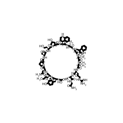 CCCC[C@H]1C(=O)N[C@@H](CC(N)=O)C(=O)N2CCC[C@H]2C(=O)N[C@@H](CO)C(=O)N[C@@H](CCO)C(=O)N2C[C@H](O)C[C@H]2C(=O)N[C@@H](C2C=CNc3ccccc32)C(=O)N[C@@H](C)C(=O)N[C@@H](Cc2c[nH]c3ccccc23)C(=O)N(C)[C@@H](C)C(=O)N(C)[C@@H](C)C(=O)N[C@@H](CCCNC(=N)N)C(=O)NC(C(=O)NCC(N)=O)CSCC(=O)N[C@@H](Cc2ccc(O)cc2)C(=O)N1C